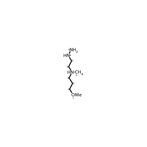 C.COCCCNCCNN